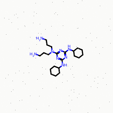 NCCCN(CCCN)c1nc(NC2CCCCC2)nc(NC2CCCCC2)n1